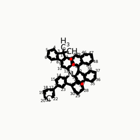 CC1(C)c2ccccc2-c2cc(N(c3ccc(-c4ccccc4)cc3-c3ccccc3)c3ccc4ccccc4c3-c3cccc4ccccc34)ccc21